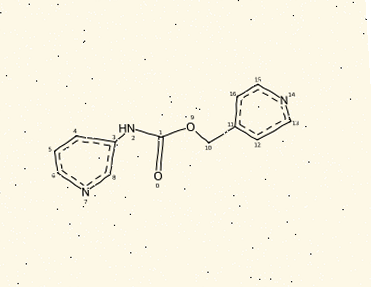 O=C(Nc1cccnc1)OCc1ccncc1